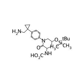 CC(C)(C)[Si](C)(C)OC1CC(NC(=O)O)C(=O)N(c2ccc(C3(CN)CC3)cc2)C1